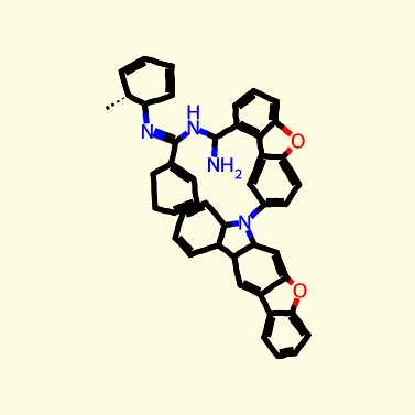 C[C@@H]1C=CC=CC1N=C(NC(N)c1cccc2oc3ccc(N4C5C=CC=CC5C5C=c6c(oc7ccccc67)=CC54)cc3c12)C1=CC=CCC1